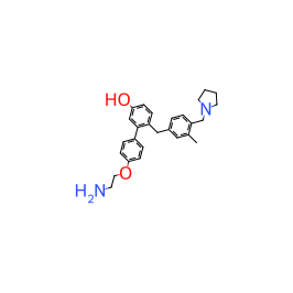 Cc1cc(Cc2ccc(O)cc2-c2ccc(OCCN)cc2)ccc1CN1CCCC1